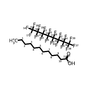 CCCCCCCCCCCC(=O)O.FC(F)(F)C(F)(F)C(F)(F)C(F)(F)C(F)(F)C(F)(F)C(F)(F)C(F)(F)F